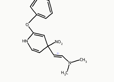 CN(C)/C=C/C1([N+](=O)[O-])C=CNC(Oc2ccccc2)=C1